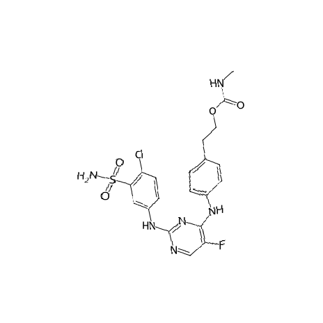 CNC(=O)OCCc1ccc(Nc2nc(Nc3ccc(Cl)c(S(N)(=O)=O)c3)ncc2F)cc1